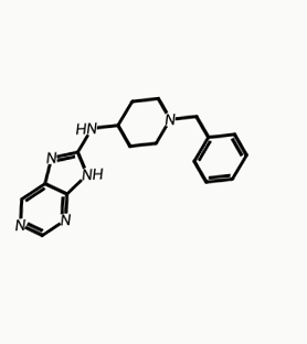 c1ccc(CN2CCC(Nc3nc4cncnc4[nH]3)CC2)cc1